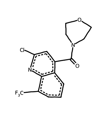 O=C(c1cc(Cl)nc2c(C(F)(F)F)cccc12)N1CCOCC1